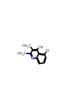 CCc1cccc2nc(C(=O)O)c(C(=O)O)c(C#N)c12